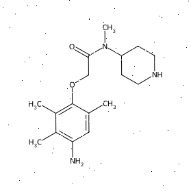 Cc1cc(N)c(C)c(C)c1OCC(=O)N(C)C1CCNCC1